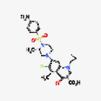 Cc1c(F)c(N2CCN(S(=O)(=O)c3ccc([N+](=O)[O-])cc3)C(C)C2)cc2c1c(=O)c(C(=O)O)cn2C1CC1